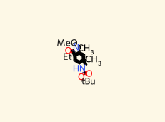 CC[C@]1(C(=O)N(C)OC)CC[C@@](C)(CNC(=O)OC(C)(C)C)CC1